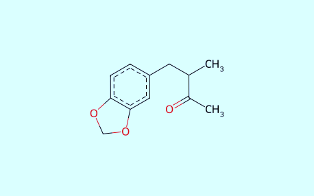 CC(=O)C(C)Cc1ccc2c(c1)OCO2